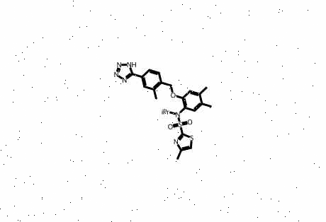 Cc1csc(S(=O)(=O)N(c2cc(C)c(C)cc2OCc2ccc(-c3nnn[nH]3)cc2C)C(C)C)n1